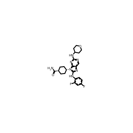 NC(=O)[C@H]1CC[C@H](n2c(Nc3ccc(F)cc3F)nc3cnc(NC4CCOCC4)nc32)CC1